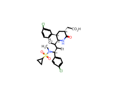 CCC(C(C)[C@@H]1NC(=O)[C@@H](CC(=O)O)C[C@@H]1c1cccc(Cl)c1)[C@@H](c1ccc(Cl)cc1)N(C)S(=O)(=O)C1CC1